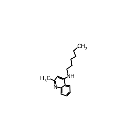 CCCCCCNc1cc(C)nc2ccccc12